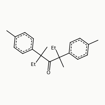 CCC(C)(C(=O)C(C)(CC)c1ccc(C)cc1)c1ccc(C)cc1